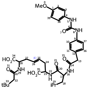 COc1ccc(NC(=O)Nc2ccc(CC(=O)NC(CC(C)C)C(=O)NC(C/C=C/CC(NC(=O)CC(C)(C)C)C(=O)O)C(=O)O)cc2)cc1